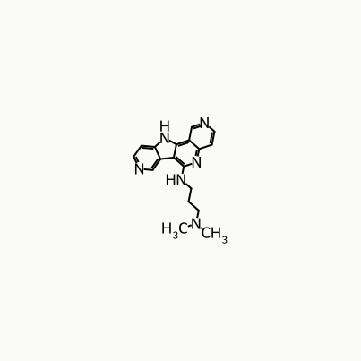 CN(C)CCCNc1nc2ccncc2c2[nH]c3ccncc3c12